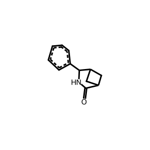 O=C1NC(c2ccccc2)C2CC1C2